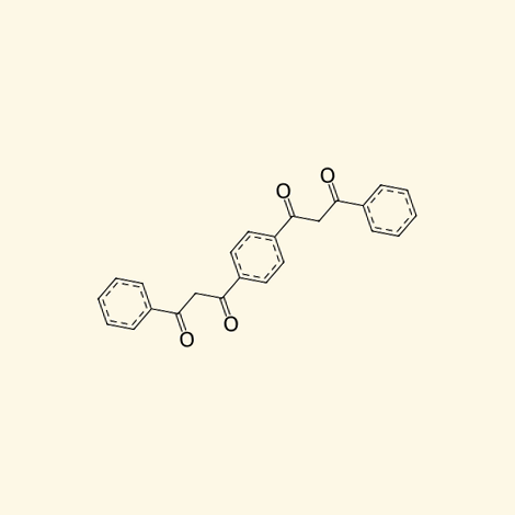 O=C(CC(=O)c1ccc(C(=O)CC(=O)c2ccccc2)cc1)c1ccccc1